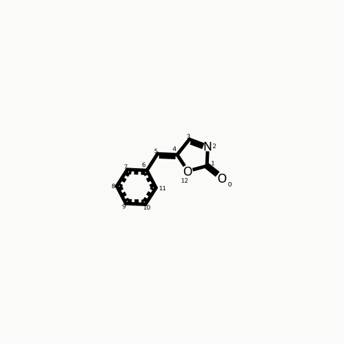 O=C1N=CC(=Cc2ccccc2)O1